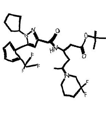 CC(CC(CC(=O)OC(C)(C)C)NC(=O)c1cc(-c2ccccc2C(F)(F)F)n(C2CCCC2)n1)N1CCCC(F)(F)C1